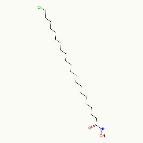 O=C(CCCCCCCCCCCCCCCCCCCCCCl)NO